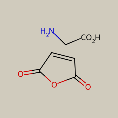 NCC(=O)O.O=C1C=CC(=O)O1